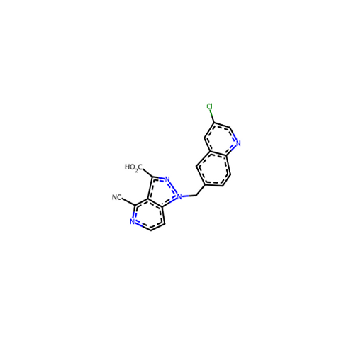 N#Cc1nccc2c1c(C(=O)O)nn2Cc1ccc2ncc(Cl)cc2c1